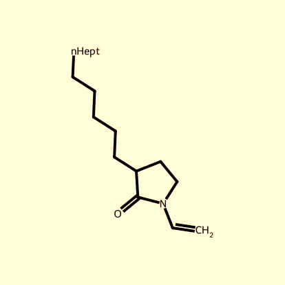 C=CN1CCC(CCCCCCCCCCCC)C1=O